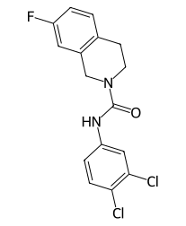 O=C(Nc1ccc(Cl)c(Cl)c1)N1CCc2ccc(F)cc2C1